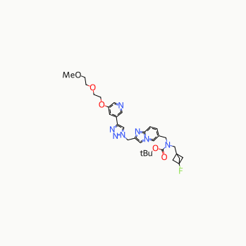 COCCOCCOc1cncc(-c2cn(Cc3cn4cc(CN(CC56CC(F)(C5)C6)C(=O)OC(C)(C)C)ccc4n3)nn2)c1